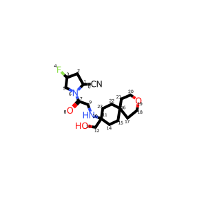 N#CC1CC(F)CN1C(=O)CNC1(CO)CCC2(CCOCC2)CC1